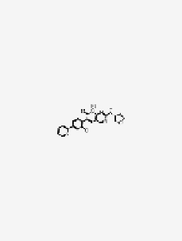 CCn1c(=O)c(-c2ccc(-c3ccccn3)cc2Cl)cc2cnc(N[C@@H]3CCOC3)nc21